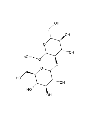 CCCCCCCCOC1O[C@H](CO)[C@@H](O)[C@H](O)[C@H]1OC1O[C@H](CO)[C@@H](O)[C@H](O)[C@H]1O